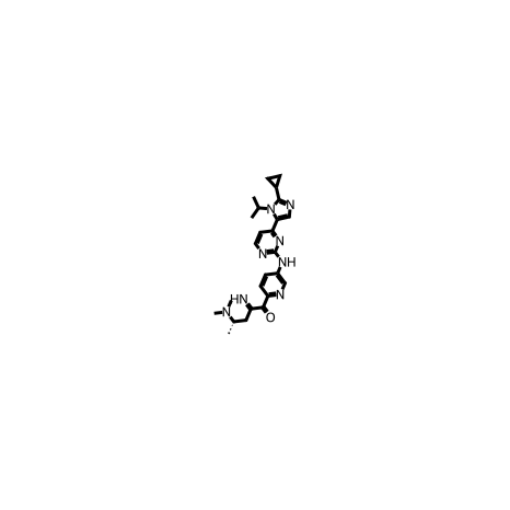 CC(C)n1c(-c2ccnc(Nc3ccc(C(=O)C(=N)C[C@H](C)N(C)C)nc3)n2)cnc1C1CC1